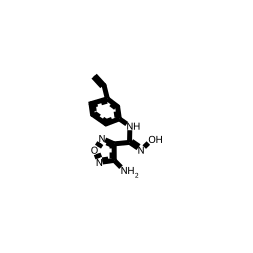 C=Cc1cccc(N/C(=N\O)c2nonc2N)c1